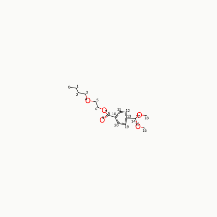 CCCCOCCOC(=O)c1ccc(C(OC)OC)cc1